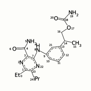 CCc1nc(C(N)=O)c(Nc2cccc(C(C)COC(N)=O)c2)nc1C(C)C